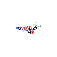 C[C@]12O[C@](C)(C[C@H]1NC(=O)OCc1ccncc1)[C@H]1C(=O)N(c3ccc(C#N)c(C(F)(F)F)c3)C(=O)[C@H]12